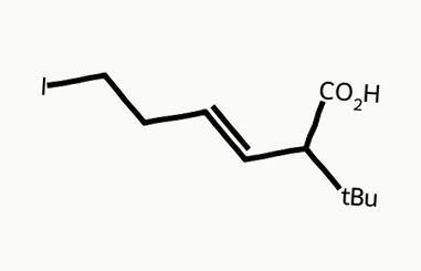 CC(C)(C)C(/C=C/CCI)C(=O)O